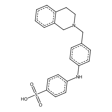 O=S(=O)(O)c1ccc(Nc2ccc(CN3CCc4ccccc4C3)cc2)cc1